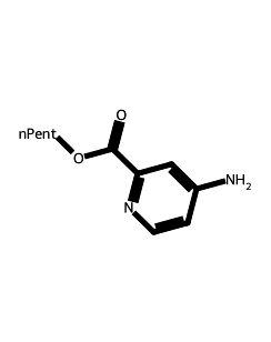 CCCCCOC(=O)c1cc(N)ccn1